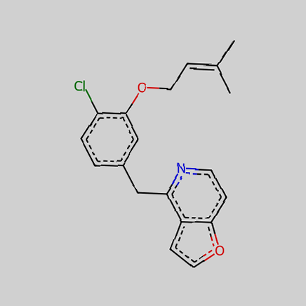 CC(C)=CCOc1cc(Cc2nccc3occc23)ccc1Cl